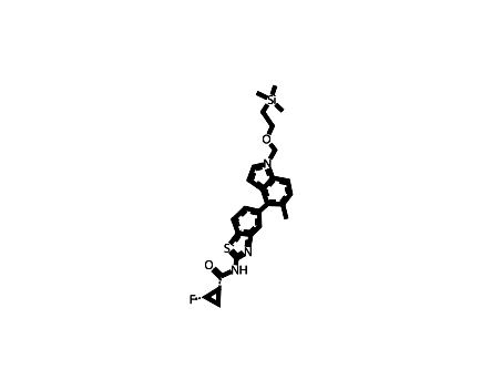 Cc1ccc2c(ccn2COCC[Si](C)(C)C)c1-c1ccc2sc(NC(=O)[C@@H]3C[C@@H]3F)nc2c1